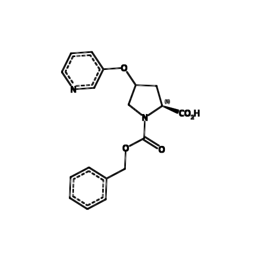 O=C(O)[C@@H]1CC(Oc2cccnc2)CN1C(=O)OCc1ccccc1